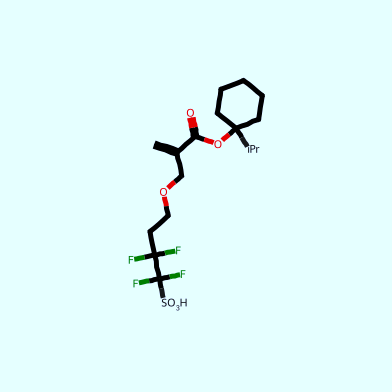 C=C(COCCC(F)(F)C(F)(F)S(=O)(=O)O)C(=O)OC1(C(C)C)CCCCC1